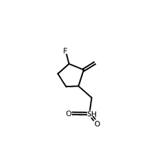 C=C1C(F)CCC1C[SH](=O)=O